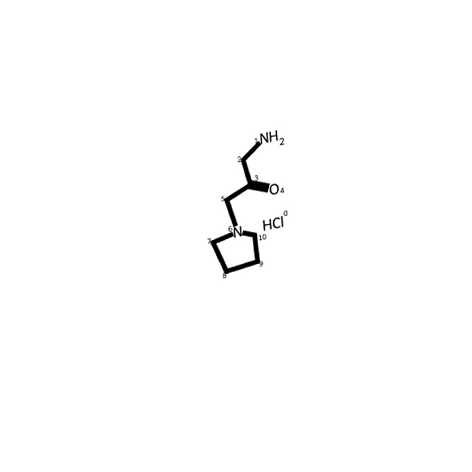 Cl.NCC(=O)CN1CCCC1